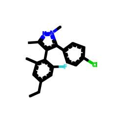 CCc1cc(C)c(-c2c(C)nn(C)c2-c2ccc(Cl)cc2)c(F)c1